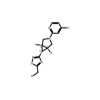 ClCc1nc([C@H]2[C@@H]3CN(c4cc(Cl)ccn4)C[C@@H]32)no1